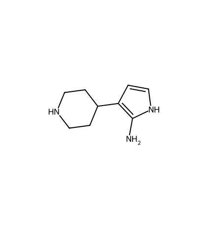 Nc1[nH]ccc1C1CCNCC1